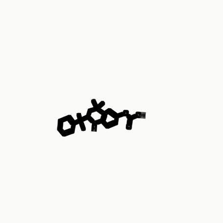 CC1(C)CC(C(C)(C)c2ccccc2)Nc2ccc(OC(=O)O)cc21